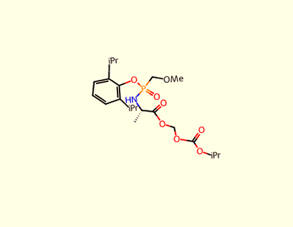 COCP(=O)(N[C@@H](C)C(=O)OCOC(=O)OC(C)C)Oc1c(C(C)C)cccc1C(C)C